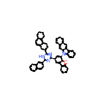 c1ccc2cc(C3N=C(c4cc(-n5c6ccccc6c6cc7ccccc7cc65)c5oc6ccccc6c5c4)N=C(c4ccc5c(ccc6ccccc65)c4)N3)ccc2c1